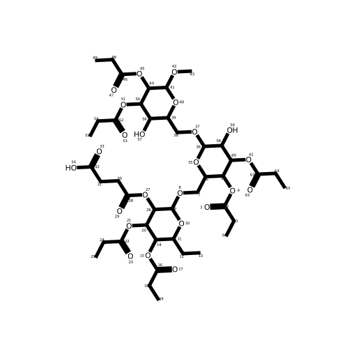 CCC(=O)OC1C(COC2OC(CC)C(OC(=O)CC)C(OC(=O)CC)C2OC(=O)CCC(=O)O)OC(OCC2OC(OC)C(OC(=O)CC)C(OC(=O)CC)C2O)C(O)C1OC(=O)CC